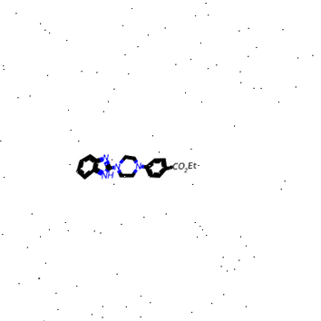 CCOC(=O)c1ccc(N2CCN(c3nc4ccccc4[nH]3)CC2)cc1